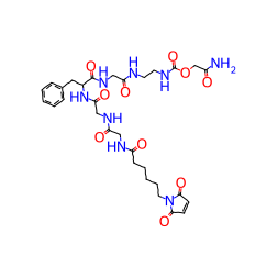 NC(=O)COC(=O)NCCNC(=O)CNC(=O)C(Cc1ccccc1)NC(=O)CNC(=O)CNC(=O)CCCCCN1C(=O)C=CC1=O